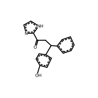 O=C(C[C](c1ccccc1)c1ccc(O)cc1)c1ncc[nH]1